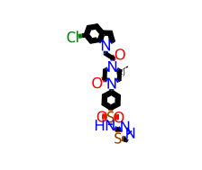 C[C@@H]1CN(c2ccc(S(=O)(=O)Nc3nncs3)cc2)C(=O)CN1C(=O)Cn1ccc2ccc(Cl)cc21